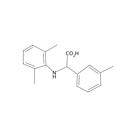 Cc1cccc(C(Nc2c(C)cccc2C)C(=O)O)c1